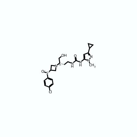 Cn1nc(C2CC2)cc1NC(=O)NCC[C@@H](CO)N1CC([S+]([O-])c2ccc(Cl)cc2)C1